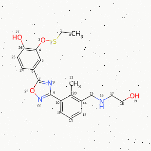 CCSOc1cc(-c2nc(-c3cccc(CNCCO)c3C)no2)ccc1O